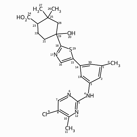 Cc1cc(Nc2ncc(Cl)c(C)n2)cc(-c2cnc(C3(O)CCC(C(=O)O)C(C)(C)C3)s2)c1